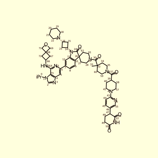 CC(C)n1cnc2cc(-c3ccc4c(c3)N([C@H]3C[C@@H](N5CCCCC5)C3)C(=O)C43CCN(C(=O)C4(C)CCN(C(=O)C5CCN(c6ccc(C7CCC(=O)NC7=O)cn6)CC5)CC4)CC3)nc(NC3CC4(COC4)C3)c21